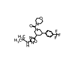 CC(C)Nc1noc(C2CC(c3ccc(C(F)(F)F)cc3)CN(C(=O)N3CCOCC3)C2)n1